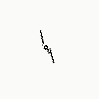 CCCCCCCC=COc1ccc(-c2ncc(CCCCCCC)cn2)cc1